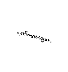 CCOC(=O)OCC=CCSSCC=CCOC(=O)OCC